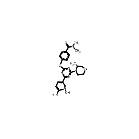 C[C@H]1COCCN1c1nc(Oc2ccc(C(=O)N(C)C)cc2)nc(C2=CC=C(N)N(O)C2)n1